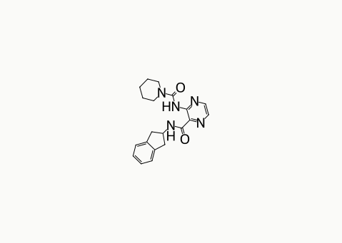 O=C(NC1Cc2ccccc2C1)c1nccnc1NC(=O)N1CCCCC1